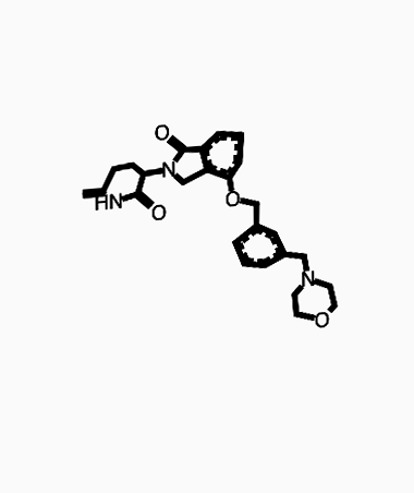 C=C1CCC(N2Cc3c(OCc4cccc(CN5CCOCC5)c4)cccc3C2=O)C(=O)N1